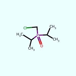 CC(C)P(=O)(CCl)C(C)C